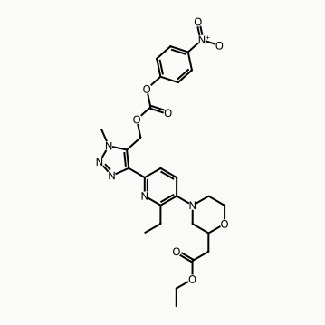 CCOC(=O)CC1CN(c2ccc(-c3nnn(C)c3COC(=O)Oc3ccc([N+](=O)[O-])cc3)nc2CC)CCO1